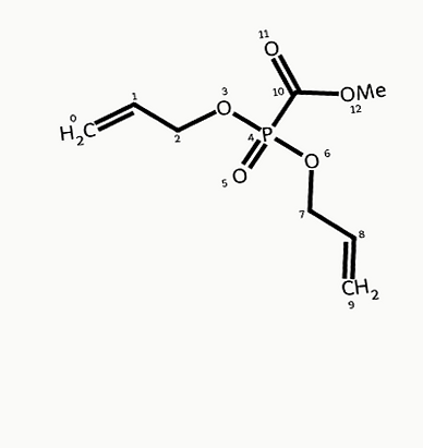 C=CCOP(=O)(OCC=C)C(=O)OC